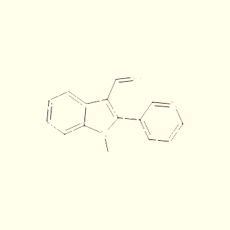 Cn1c(-c2cccnc2)c(C=O)c2ccccc21